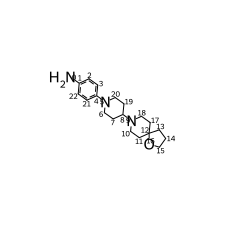 Nc1ccc(N2CCC(N3CCC4(CCCO4)CC3)CC2)cc1